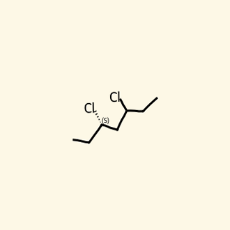 CCC(Cl)C[C@@H](Cl)CC